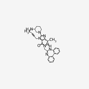 CC#CCn1c(N2CCCC(N)C2)nc2c(C)nn(CC3=Nc4ccccc4-c4ccccc4N3)c(=O)c21